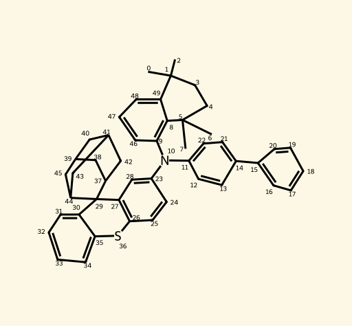 CC1(C)CCC(C)(C)c2c(N(c3ccc(-c4ccccc4)cc3)c3ccc4c(c3)C3(c5ccccc5S4)C4CC5CC(C4)CC3C5)cccc21